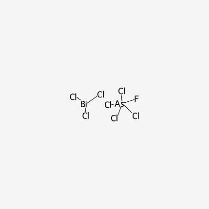 F[As](Cl)(Cl)(Cl)Cl.[Cl][Bi]([Cl])[Cl]